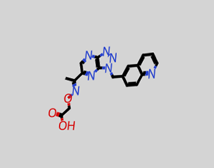 CC(=NOCC(=O)O)c1cnc2nnn(Cc3ccc4ncccc4c3)c2n1